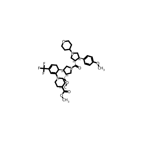 COC[C@H]1CN(C(=O)[C@@H]2CN(C3CCOCC3)C[C@H]2c2ccc(OC)cc2)C[C@@H]1C1CC=C(C(F)(F)F)C=C1N1CCC(C(=O)OC)CC1